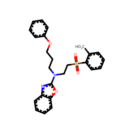 O=C(O)c1ccccc1S(=O)(=O)CCN(CCCOc1ccccc1)c1nc2ccccc2o1